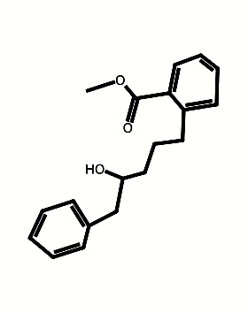 COC(=O)c1ccccc1CCCC(O)Cc1ccccc1